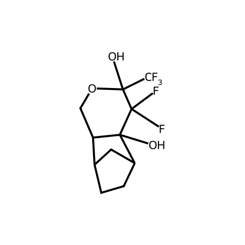 OC12C3CCC(C3)C1COC(O)(C(F)(F)F)C2(F)F